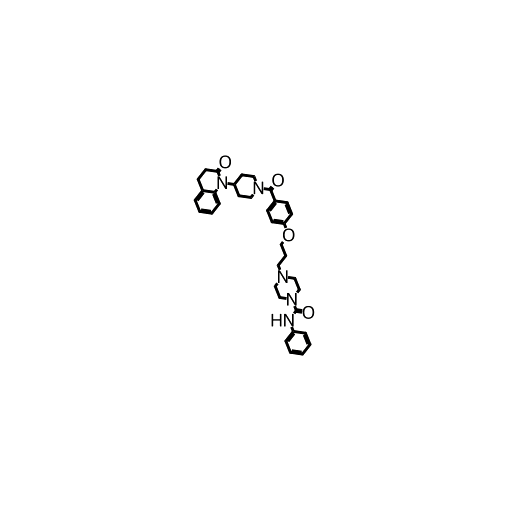 O=C(Nc1ccccc1)N1CCN(CCCOc2ccc(C(=O)N3CCC(N4C(=O)CCc5ccccc54)CC3)cc2)CC1